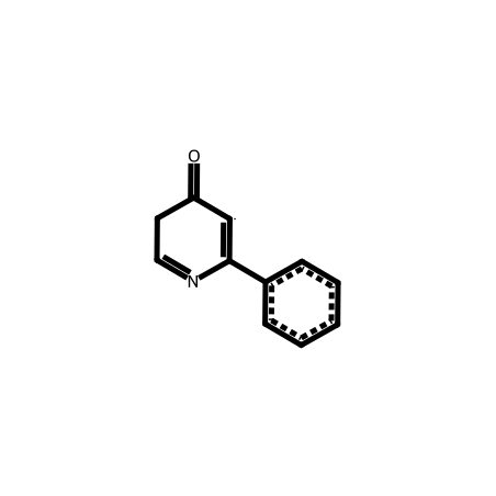 O=C1[C]=C(c2ccccc2)N=CC1